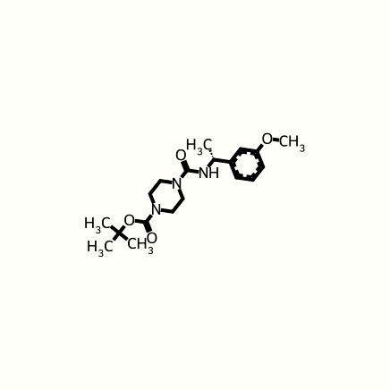 COc1cccc([C@@H](C)NC(=O)N2CCN(C(=O)OC(C)(C)C)CC2)c1